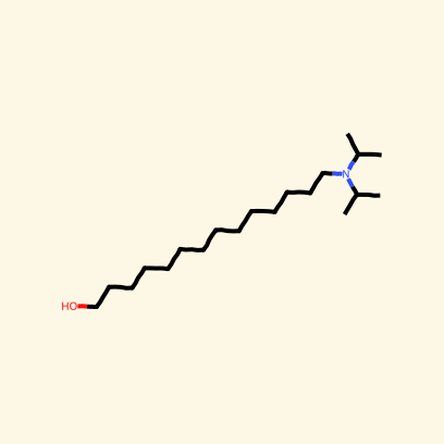 CC(C)N(CCCCCCCCCCCCCCO)C(C)C